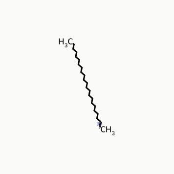 C/[C]=C/CCCCCCCCCCCCCCCCCCCCC